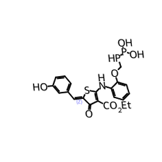 CCOC(=O)C1=C(Nc2ccccc2OCPP(O)O)S/C(=C\c2cccc(O)c2)C1=O